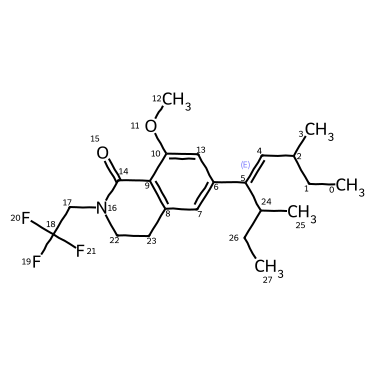 CCC(C)/C=C(/c1cc2c(c(OC)c1)C(=O)N(CC(F)(F)F)CC2)C(C)CC